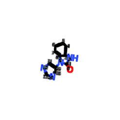 O=c1[nH]c2ccccc2n1-c1cncnc1